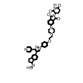 O=C1CCC(N2C(=O)c3ccc(N4CCN(CCOc5ccc(-n6cc(-c7ccc8c(c7)CCC8=NO)c(-c7ccncc7)n6)cc5)CC4)cc3C2=O)C(=O)N1